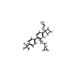 O=COC1(c2ccc(-c3ccc(C(F)(F)F)cc3)c(OCC3CC3)c2)CCC1